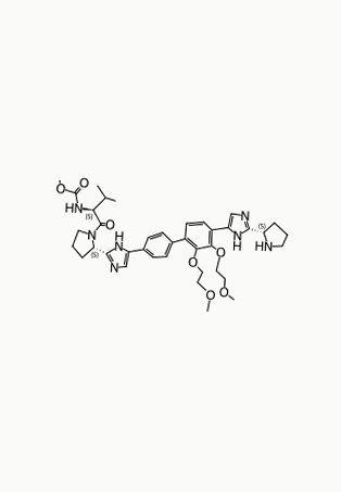 COCCOc1c(-c2ccc(-c3cnc([C@@H]4CCCN4C(=O)[C@@H](NC(=O)OC)C(C)C)[nH]3)cc2)ccc(-c2cnc([C@@H]3CCCN3)[nH]2)c1OCCOC